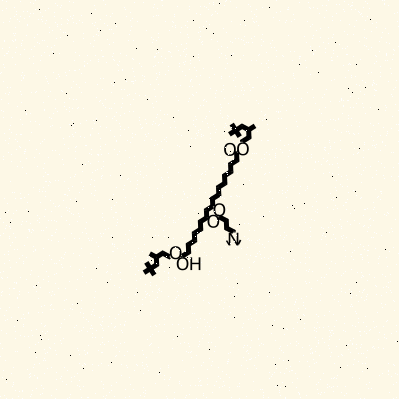 CC(CCOC(=O)CCCCCCCCC(CCCCCCCCC(O)OCCC(C)CC(C)(C)C)OC(=O)CCCN(C)C)CC(C)(C)C